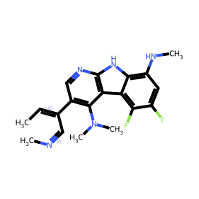 C/C=C(\C=N/C)c1cnc2[nH]c3c(NC)cc(F)c(F)c3c2c1N(C)C